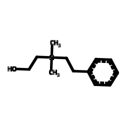 C[Si](C)(CCO)CCc1ccccc1